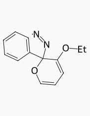 CCOC1=CC=COC1(N=[N])c1ccccc1